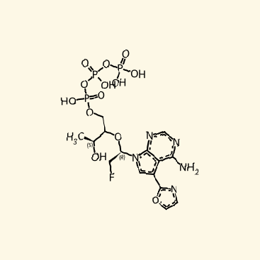 C[C@H](O)C(COP(=O)(O)OP(=O)(O)OP(=O)(O)O)O[C@H](CF)n1cc(-c2ncco2)c2c(N)ncnc21